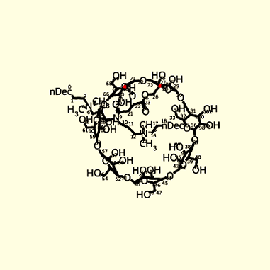 CCCCCCCCCCCC[N+](C)(C)CCCN(CCC[N+](C)(C)CCCCCCCCCCCC)C(=O)CCC(=O)OCC1OC2OC3C(CO)OC(OC4C(CO)OC(OC5C(CO)OC(OC6C(CO)OC(OC7C(CO)OC(OC8C(CO)OC(OC1C(O)C2O)C(O)C8O)C(O)C7O)C(O)C6O)C(O)C5O)C(O)C4O)C(O)C3O